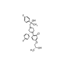 C[C@@H](O)COc1ccc(N2CCN(C[C@@](C)(O)c3ccc(F)cc3)C[C@H]2c2ccc(F)cc2)c(Cl)c1